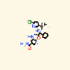 C[C@H](CN[C@H](c1ccccc1)[C@@H]1CNc2cc(C(N)=O)cnc2O1)c1ccc(Cl)nc1